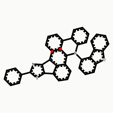 c1ccc(-c2nc3c(s2)-c2cccc4c(N(c5ccccc5-c5ccccc5)c5cccc6oc7ccccc7c56)ccc-3c24)cc1